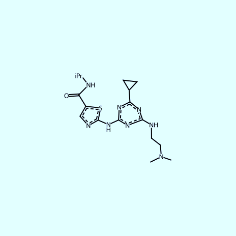 CC(C)NC(=O)c1cnc(Nc2nc(NCCN(C)C)nc(C3CC3)n2)s1